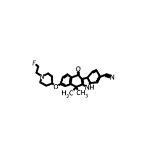 CC1(C)C2=C(C(=O)c3ccc(OC4CCN(CCF)CC4)cc31)C1C=CC(C#N)=CC1N2